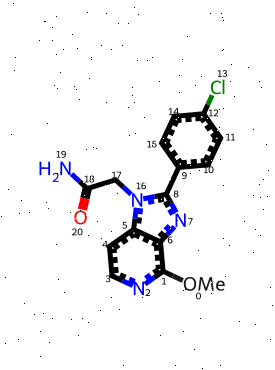 COc1nccc2c1nc(-c1ccc(Cl)cc1)n2CC(N)=O